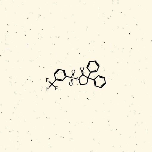 O=C1N(S(=O)(=O)c2cccc(C(F)(F)F)c2)CCC1(c1ccccc1)c1ccccc1